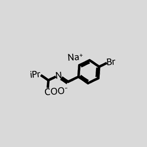 CC(C)C(N=Cc1ccc(Br)cc1)C(=O)[O-].[Na+]